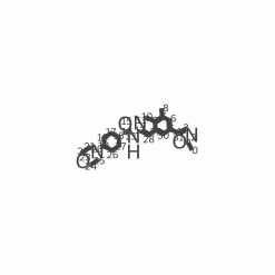 Cc1ncc(-c2cc(C)c3cnc(NC(=O)[C@H]4CC[C@H](N5CCOCC5)CC4)cc3c2)o1